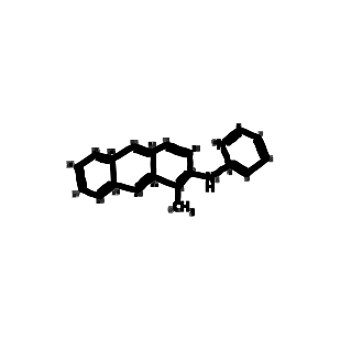 Cc1c(Nc2ccccn2)ccc2cc3ccccc3cc12